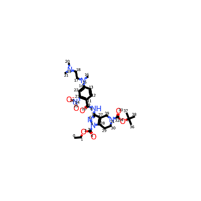 CCOC(=O)n1nc(NC(=O)c2ccc(N(C)CCN(C)C)cc2[N+](=O)[O-])c2c1CCN(C(=O)OC(C)(C)C)C2